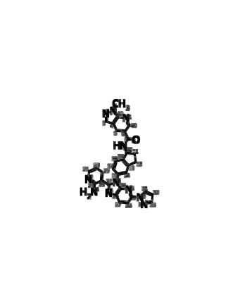 Cn1ncc2cc(C(=O)N[C@H]3CCc4cc(-n5c(-c6cccnc6N)nc6ccc(-n7cccn7)nc65)ccc43)cnc21